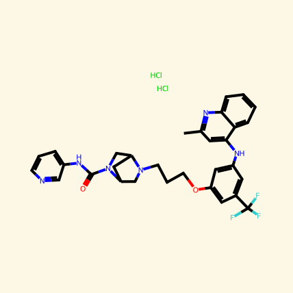 Cc1cc(Nc2cc(OCCCN3CC4CC3CN4C(=O)Nc3cccnc3)cc(C(F)(F)F)c2)c2ccccc2n1.Cl.Cl